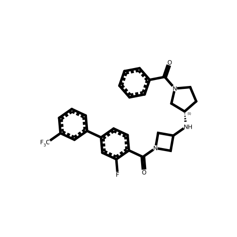 O=C(c1ccccc1)N1CC[C@H](NC2CN(C(=O)c3ccc(-c4cccc(C(F)(F)F)c4)cc3F)C2)C1